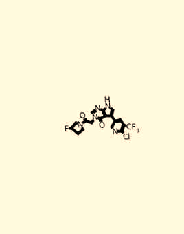 O=C(Cn1cnc2[nH]cc(-c3cnc(Cl)c(C(F)(F)F)c3)c2c1=O)N1CCC(F)C1